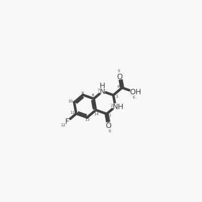 O=C1NC(C(=O)O)Nc2ccc(F)cc21